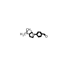 CN(C)[C@H]1CCN(c2ccc(C=O)cc2)C1